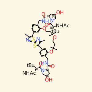 CC(=O)N[C@H](C(=O)N1C[C@H](O)C[C@H]1C(=O)NCc1ccc(-c2scnc2C)cc1OCCC(C)(C)OCCC(C)(C)Oc1cc(-c2scnc2C)ccc1CNC(=O)[C@@H]1C[C@@H](O)CN1C(=O)[C@@H](NC(C)=O)C(C)(C)C)C(C)(C)C